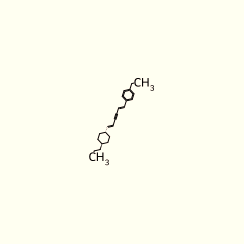 CCC[C@H]1CC[C@H](C=CC#CC=Cc2ccc(CC)cc2)CC1